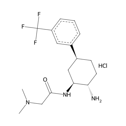 CN(C)CC(=O)N[C@H]1C[C@@H](c2cccc(C(F)(F)F)c2)CC[C@@H]1N.Cl